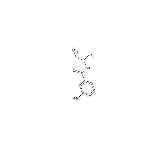 CCC(C)NC(=O)c1cccc(N)c1